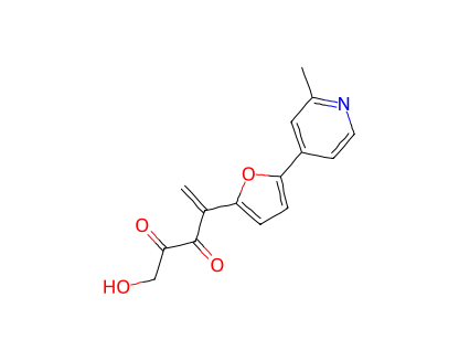 C=C(C(=O)C(=O)CO)c1ccc(-c2ccnc(C)c2)o1